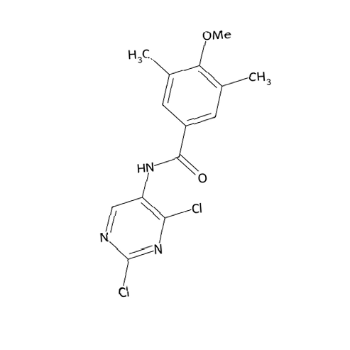 COc1c(C)cc(C(=O)Nc2cnc(Cl)nc2Cl)cc1C